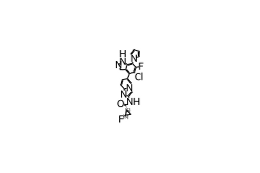 O=C(Nc1cn2cc(-c3c(Cl)c(F)c(-n4cccc4)c4[nH]ncc34)ccc2n1)[C@@H]1C[C@@H]1F